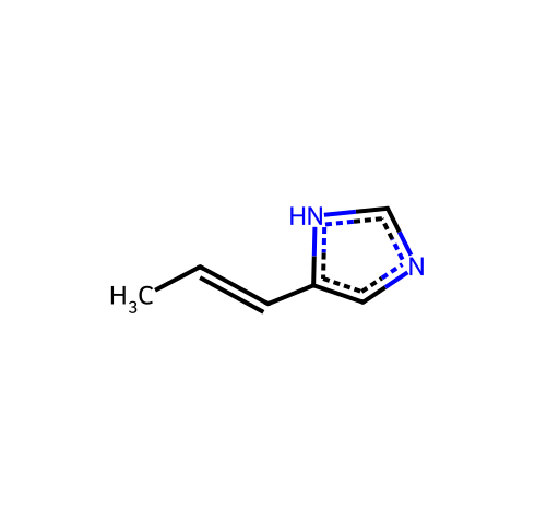 CC=Cc1cnc[nH]1